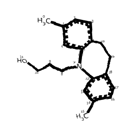 Cc1ccc2c(c1)N(CCCO)c1cc(C)ccc1CC2